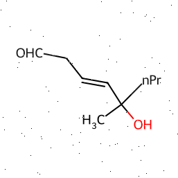 CCCC(C)(O)C=CCC=O